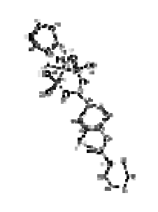 O=C(Oc1ccc(C2OP(=O)(O)C(O)(Cc3cccnc3)P(=O)(O)O2)cc1F)N1CCCCC1